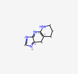 C1=NC2=NC3=C(CCCN3)CC2=N1